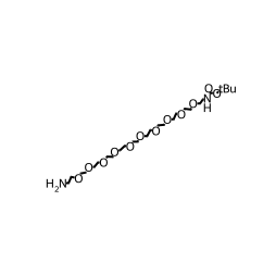 CC(C)(C)OC(=O)NCCOCCOCCOCCOCCOCCOCCOCCOCCOCCOCCN